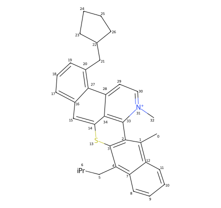 Cc1c2c(c(CC(C)C)c3ccccc13)Sc1cc3cccc(CC4CCCC4)c3c3cc[n+](C)c-2c13